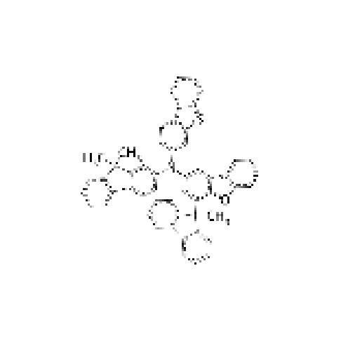 CC1(C)c2ccccc2-c2ccc(N(c3ccc4c(c3)sc3ccccc34)c3cc(C4(C)c5ccccc5-c5ccccc54)c4oc5ccccc5c4c3)cc21